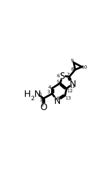 NC(=O)c1cc2sc(C3CC3)nc2cn1